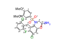 COc1ccc(S(=O)(=O)N(CC(N)=O)c2ccc(Cl)cc2Cc2c(F)cccc2Cl)cc1OC